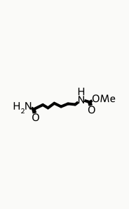 COC(=O)NCCCCCCC(N)=O